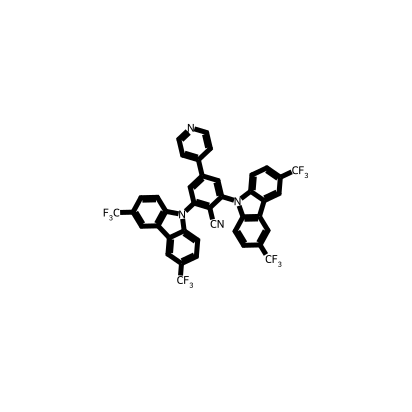 N#Cc1c(-n2c3ccc(C(F)(F)F)cc3c3cc(C(F)(F)F)ccc32)cc(-c2ccncc2)cc1-n1c2ccc(C(F)(F)F)cc2c2cc(C(F)(F)F)ccc21